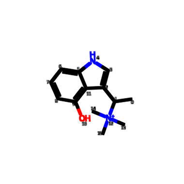 CC(c1c[nH]c2cccc(O)c12)[N+](C)(C)C